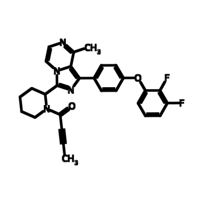 CC#CC(=O)N1CCCCC1c1nc(-c2ccc(Oc3cccc(F)c3F)cc2)c2c(C)nccn12